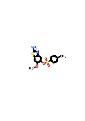 COc1cc2sc(N)nc2cc1OS(=O)(=O)c1ccc(C)cc1